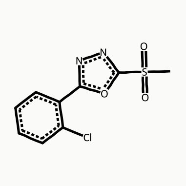 CS(=O)(=O)c1nnc(-c2ccccc2Cl)o1